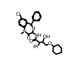 CC(C)C(C(=O)NC1N=C(c2ccccc2)c2cc(Cl)ccc2N(C)C1=O)C(O)COC1CCCCC1